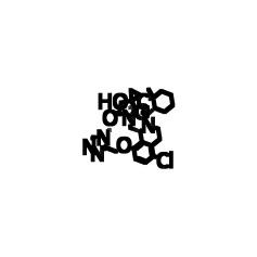 Cn1cnnc1COc1ccc(Cl)c2c1[C@@H](CN1CC3(CC3)CC1=O)N(C(=O)[C@@H]1CCCC[C@]1(C)C(=O)O)CC2